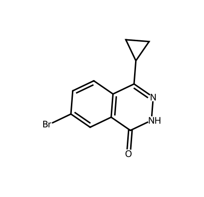 O=c1[nH]nc(C2CC2)c2ccc(Br)cc12